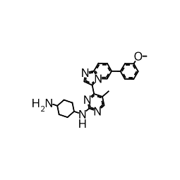 COc1cccc(-c2ccc3ncc(-c4nc(NC5CCC(N)CC5)ncc4C)n3c2)c1